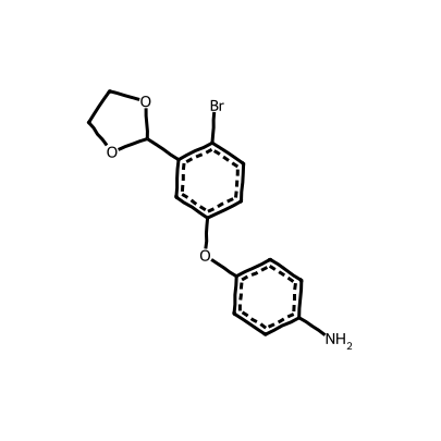 Nc1ccc(Oc2ccc(Br)c(C3OCCO3)c2)cc1